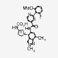 COc1cccc(F)c1-c1nccc(C(=O)Nc2cc(C)c3nn(C)cc3c2N2CC[C@@H](NC(=O)O)C2)n1